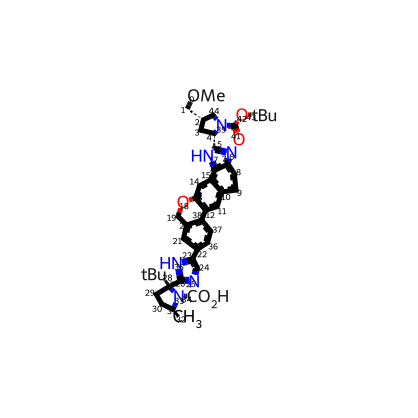 COC[C@H]1C[C@@H](c2nc3ccc4cc5c(cc4c3[nH]2)OCc2cc(-c3cnc([C@@]4(C(C)(C)C)CC[C@H](C)N4C(=O)O)[nH]3)ccc2-5)N(C(=O)OC(C)(C)C)C1